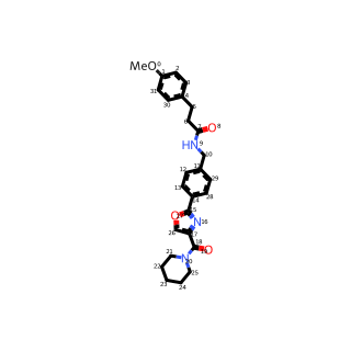 COc1ccc(CCC(=O)NCc2ccc(-c3nc(C(=O)N4CCCCC4)co3)cc2)cc1